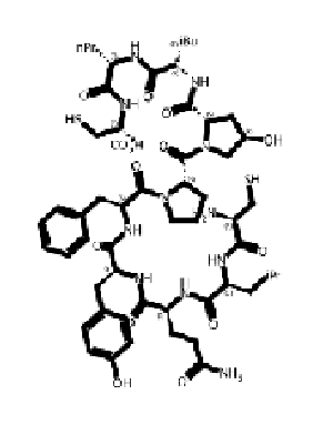 CCC[C@H](NC(=O)[C@@H](NC(=O)[C@@H]1C[C@@H](O)CN1C(=O)[C@@H]1CCCN1C(=O)[C@H](Cc1ccccc1)NC(=O)[C@H](Cc1ccc(O)cc1)NC(=O)[C@H](CCC(N)=O)NC(=O)[C@H](CC(C)C)NC(=O)[C@@H](N)CS)[C@@H](C)CC)C(=O)N[C@@H](CS)C(=O)O